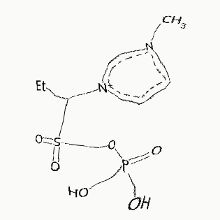 CCC([n+]1ccn(C)c1)S(=O)(=O)OP(=O)(O)O